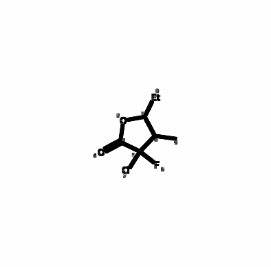 CCC1OC(=O)C(F)(Cl)C1C